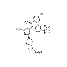 CS(=O)(=O)Nc1cccc(-c2cc(Cl)ccc2[C@@H](Oc2cc(N3CCC4(CC3)CNC(C(=O)O)C4)nc(N)n2)C(F)(F)F)c1